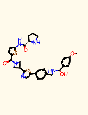 COc1ccc(C(O)NCc2ccc(-c3cnc(C4CN(C(=O)c5ccc(NC(=O)[C@@H]6CCCN6)s5)C4)s3)cc2)cc1